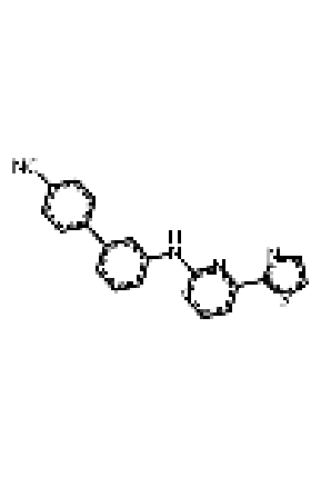 N#Cc1ccc(-c2cccc(Nc3nccc(-c4nccs4)n3)c2)cc1